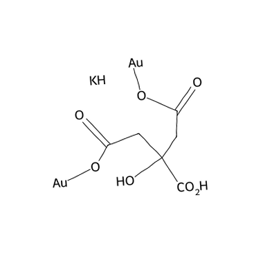 O=C(CC(O)(CC(=O)[O][Au])C(=O)O)[O][Au].[KH]